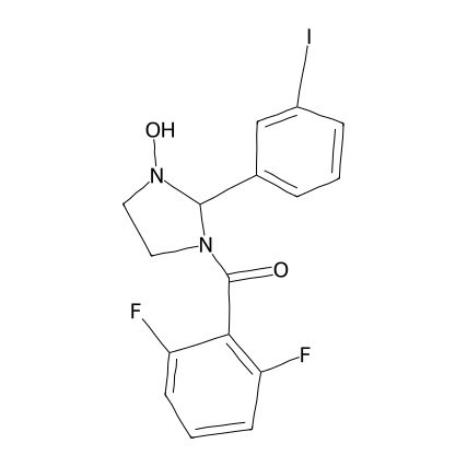 O=C(c1c(F)cccc1F)N1CCN(O)C1c1cccc(I)c1